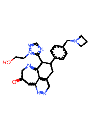 O=C1C=C2N=NCC3=C2C(=NC1)C(c1ncnn1CCO)C(c1ccc(CN2CCC2)cc1)C3